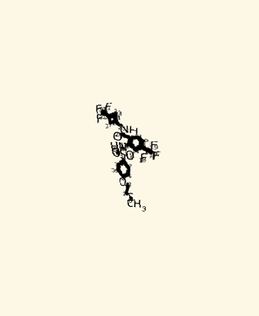 CSCCOc1ccc(S(=O)(=O)Nc2cc(C(F)(F)F)ccc2C(=O)NC23CC(C(F)(F)F)(C2)C3)cc1